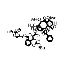 CCCC1(CCC)OC[C@H](COC(=O)O[C@@H](C(=O)O[C@H]2CC3(O)[C@@H](OC(=O)c4ccccc4)[C@@H]4[C@]5(OC(C)=O)CO[C@@H]5C[C@H](OC)[C@@]4(C)C(=O)[C@H](OC)C(=C2C)C3(C)C)[C@@H](NC(=O)OC(C)(C)C)c2ccccc2)O1